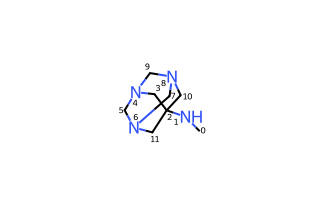 CNC12CN3CN(CN(C3)C1)C2